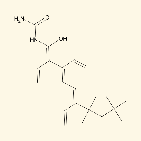 C=CC(=C(/O)NC(N)=O)/C(C=C)=C/C=C(\C=C)C(C)(C)CC(C)(C)C